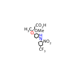 CO/C(=C\C(=O)O)C(C)Oc1ccc(Nc2ccc(C(F)(F)F)cc2[N+](=O)[O-])cc1